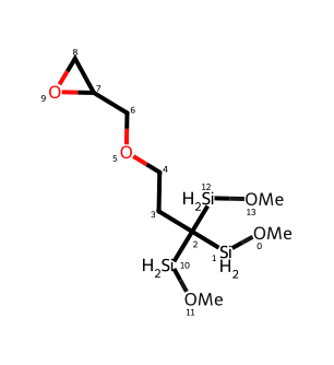 CO[SiH2]C(CCOCC1CO1)([SiH2]OC)[SiH2]OC